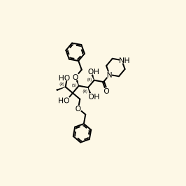 C[C@@H](O)C(O)(COCc1ccccc1)[C@@H](OCc1ccccc1)[C@H](O)[C@@H](O)C(=O)N1CCNCC1